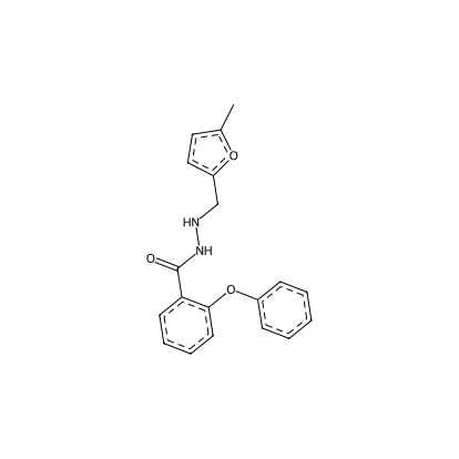 Cc1ccc(CNNC(=O)c2ccccc2Oc2ccccc2)o1